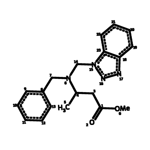 COC(=O)CC(C)N(Cc1ccccc1)Cn1nnc2ccccc21